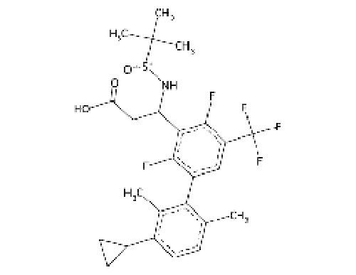 Cc1ccc(C2CC2)c(C)c1-c1cc(C(F)(F)F)c(F)c(C(CC(=O)O)N[S@+]([O-])C(C)(C)C)c1F